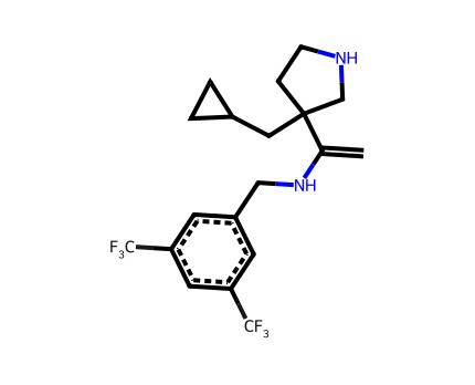 C=C(NCc1cc(C(F)(F)F)cc(C(F)(F)F)c1)C1(CC2CC2)CCNC1